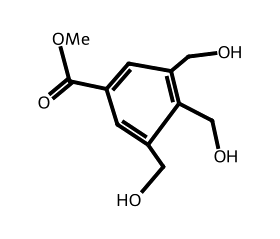 COC(=O)c1cc(CO)c(CO)c(CO)c1